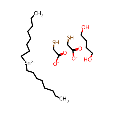 CCCCCCC[CH2][Sn+2][CH2]CCCCCCC.O=C([O-])CS.O=C([O-])CS.OCCCCO